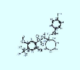 COc1cc(S(=O)(=O)NC2(CNc3ccc(F)cc3)CCCCCC2)c(Br)cc1C(F)(F)F